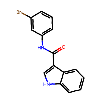 O=C(Nc1cccc(Br)c1)c1c[nH]c2ccccc12